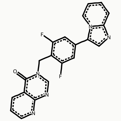 O=c1c2cccnc2ncn1Cc1c(F)cc(-c2cnc3ccccn23)cc1F